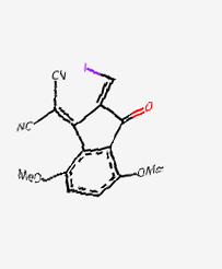 COc1ccc(OC)c2c1C(=O)/C(=C/I)C2=C(C#N)C#N